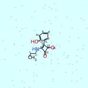 CCCNc1c(-c2ccccc2O)c(=O)c1=O